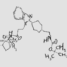 CC(C)(C)OC(=O)NCC1CCC(c2nc3ccccc3n2CCC(=O)NC2CC3CC[C@]2(C)C3(C)C)CC1